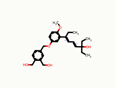 CC/C(=C\C=C\C(O)(CC)CC)c1cc(OCc2ccc(CO)c(CO)c2)ccc1OC